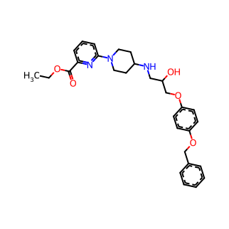 CCOC(=O)c1cccc(N2CCC(NCC(O)COc3ccc(OCc4ccccc4)cc3)CC2)n1